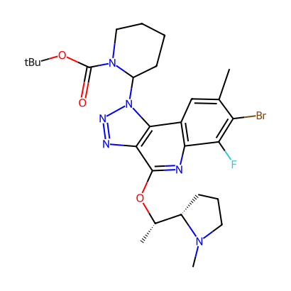 Cc1cc2c(nc(O[C@@H](C)[C@@H]3CCCN3C)c3nnn(C4CCCCN4C(=O)OC(C)(C)C)c32)c(F)c1Br